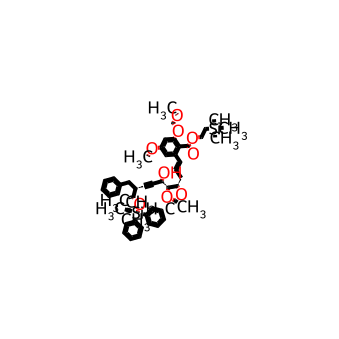 COCOc1cc(OC)cc(/C=C/C[C@@H]2OC(C)(C)O[C@@H]2C(O)C#C[C@@H](Cc2ccccc2)[C@@H](C)O[Si](c2ccccc2)(c2ccccc2)C(C)(C)C)c1C(=O)OCC[Si](C)(C)C